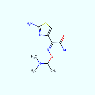 CC(O/N=C(\C([NH])=O)c1csc(N)n1)N(C)C